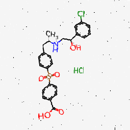 C[C@@H](Cc1ccc(S(=O)(=O)c2ccc(C(=O)O)cc2)cc1)NC[C@H](O)c1cccc(Cl)c1.Cl